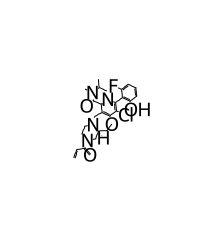 C=CC(=O)N1CCN2Cc3c(C(=O)N(C)C(C)C)nc(-c4c(O)cccc4F)c(Cl)c3OC[C@H]2C1